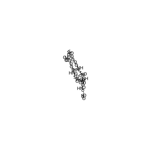 CC(=O)C1(C(=O)CCOCCOCCOCCOCCNC(=N)CCCSC2CC(=O)N(CCNC(=O)CN(C(=O)COCC(=O)Nc3ccc(CCC(=O)N4CCC4=O)cc3)C(=O)NCCN3C(=O)CC(SCCC(=O)NCCOCCOCCOCCOCCC(=O)C(C(C)=O)(C(C)=O)C(C)=O)C3=O)C2=O)SS1